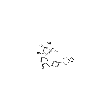 OC[C@H]1O[C@H](c2ccc(Cl)c(Cc3ccc(C4CCC5(CCC5)CC4)cc3)c2)[C@H](O)[C@@H](O)[C@@H]1O